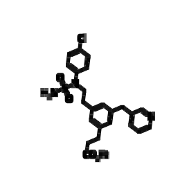 CCOC(=O)CCc1cc(CCN(c2ccc(Cl)cc2)S(N)(=O)=O)cc(Cc2cccnc2)c1